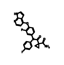 NC(=O)C1(C(=O)N(c2ccc(F)cc2)c2ccc(Oc3ccnc4[nH]ccc34)c(F)c2)CC1